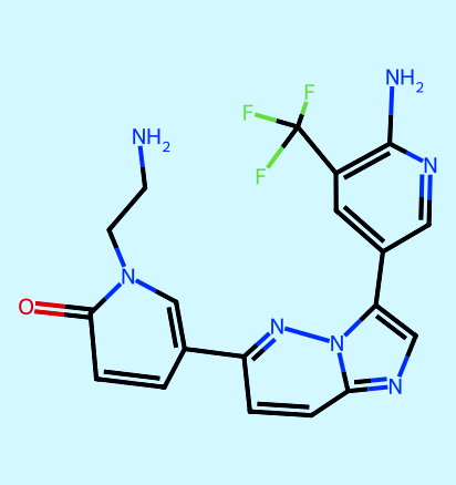 NCCn1cc(-c2ccc3ncc(-c4cnc(N)c(C(F)(F)F)c4)n3n2)ccc1=O